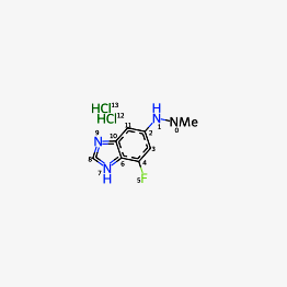 CNNc1cc(F)c2[nH]cnc2c1.Cl.Cl